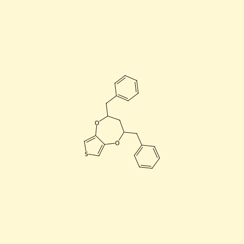 c1ccc(CC2CC(Cc3ccccc3)Oc3cscc3O2)cc1